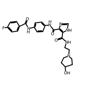 O=C(Nc1ccc(NC(=O)c2nc[nH]c2C(=O)NCCN2CCC(O)CC2)cc1)c1ccc(F)cc1